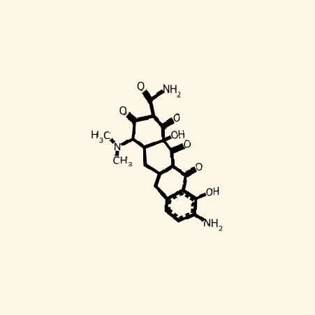 CN(C)C1C(=O)C(C(N)=O)C(=O)C2(O)C(=O)C3C(=O)c4c(ccc(N)c4O)CC3CC12